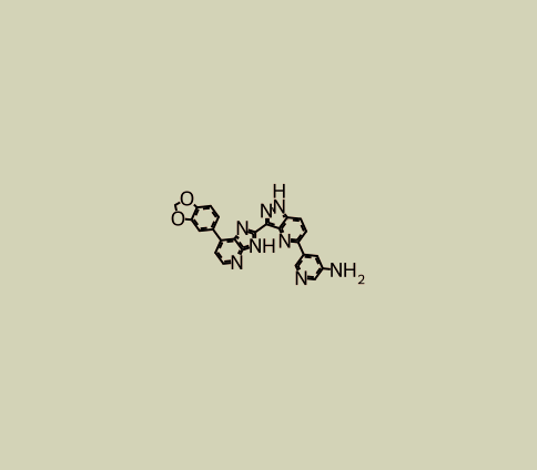 Nc1cncc(-c2ccc3[nH]nc(-c4nc5c(-c6ccc7c(c6)OCO7)ccnc5[nH]4)c3n2)c1